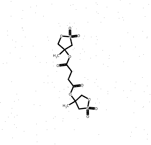 CC1(OC(=O)CCC(=O)OC2(C)COS(=O)(=O)C2)COS(=O)(=O)C1